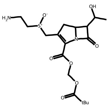 CC(O)C1C(=O)N2C(C(=O)OCOC(=O)C(C)(C)C)=C(C[S+]([O-])CCN)CC12